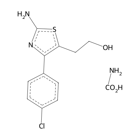 NC(=O)O.Nc1nc(-c2ccc(Cl)cc2)c(CCO)s1